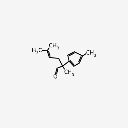 CC(C)=CCC(C)(C=O)c1ccc(C)cc1